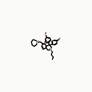 CCCCN1Cc2ccc(CN3CCCCCC3)c(O)c2C(c2ccc(F)cc2)(c2ccc(F)cc2)C1